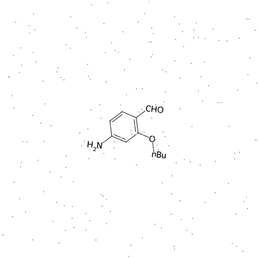 CCCCOc1cc(N)ccc1C=O